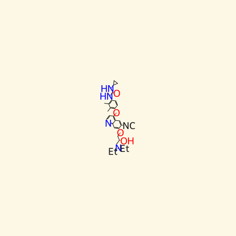 [C-]#[N+]c1cc2c(Oc3ccc(NC(=O)NC4CC4)c(C)c3C)ccnc2cc1OC[C@H](O)CN(CC)CC